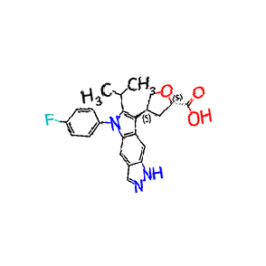 CC(C)c1c([C@H]2CO[C@H](C(=O)O)C2)c2cc3[nH]ncc3cc2n1-c1ccc(F)cc1